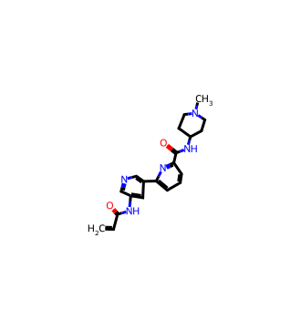 C=CC(=O)Nc1cncc(-c2cccc(C(=O)NC3CCN(C)CC3)n2)c1